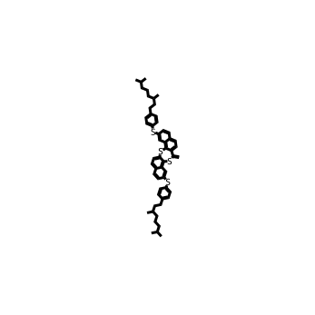 C=C1Sc2c(ccc3ccc(Sc4ccc(CCC(C)CCCC(C)C)cc4)cc23)Sc2c1ccc1ccc(Sc3ccc(CCC(C)CCCC(C)C)cc3)cc21